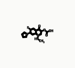 CNn1cc(OC(=O)O)c(=O)c2cc(F)c(-n3cccc3)cc21